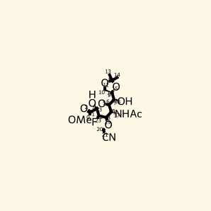 COC(=O)[C@]1(O)OC([C@H](O)[C@H]2COC(C)(C)O2)[C@H](NC(C)=O)C(OCC#N)C1F